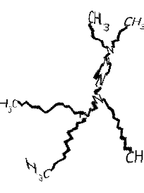 CCCCCCCCCCCCN(CCCCCCCCCCCC)CCN(CCCCCCCCCCCC)CCN1CCN(CCN(CCCCCC)CCCCCC)CC1